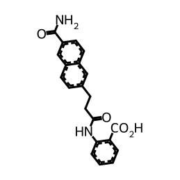 NC(=O)c1ccc2cc(CCC(=O)Nc3ccccc3C(=O)O)ccc2c1